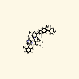 C=C/C(C(=C)c1cc2cc(C)c(C3CCOCC3)cc2[nH]1)=C(/N)N(CCC)C(/C=C\N)=C/Oc1c(F)cccc1F